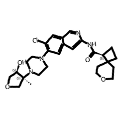 C[C@]1(N2CCN(c3cc4cc(NC(=O)[C@H]5CCC56CCOCC6)ncc4cc3Cl)CC2)COC[C@H]1O